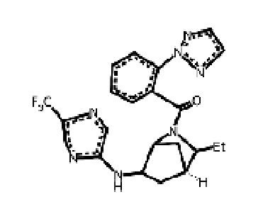 CCC1[C@H]2CC(Nc3cnc(C(F)(F)F)cn3)C(C2)N1C(=O)c1ccccc1-n1nccn1